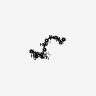 CC(Cc1cccc(CCNC(=O)Cc2ccc(CNC(=O)CCN3CCC(OC(=O)Nc4ccccc4-c4ccccc4)CC3)cc2)c1)NCC(O[Si](C)(C)C(C)(C)C)c1ccc(OCc2ccccc2)c2[nH]c(=O)ccc12